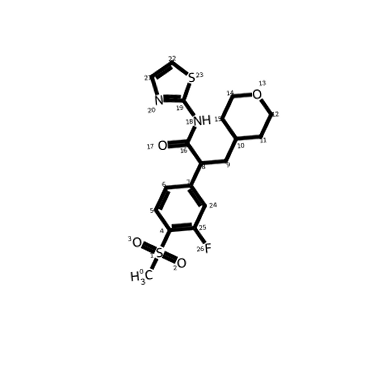 CS(=O)(=O)c1ccc(C(CC2CCOCC2)C(=O)Nc2nccs2)cc1F